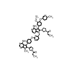 C=CC(=O)N1CC=C(c2c(-c3ccc(Oc4nccc(Cn5c(C6CCN(C(=O)C=C)C6)c(-c6ccc(Oc7ccc(C)nc7)c(OC)c6)c6c(N)ncnc65)n4)cc3)c3c(N)ncnc3n2C)C1